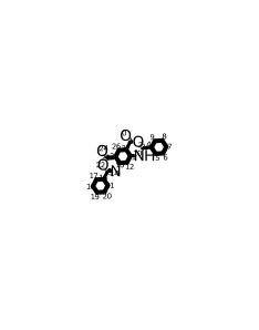 O=C1OC(c2ccccc2)Nc2cc3nc(-c4ccccc4)oc(=O)c3cc21